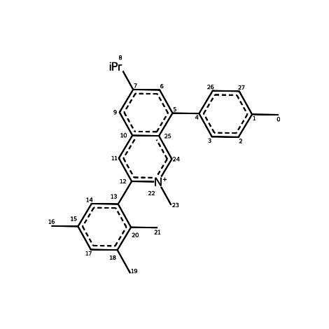 Cc1ccc(-c2cc(C(C)C)cc3cc(-c4cc(C)cc(C)c4C)[n+](C)cc23)cc1